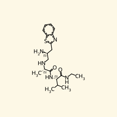 CCNC(=O)[C@@H](NC(=O)[C@H](C)NC[C@@H](N)Cc1nc2ccccc2s1)C(C)C